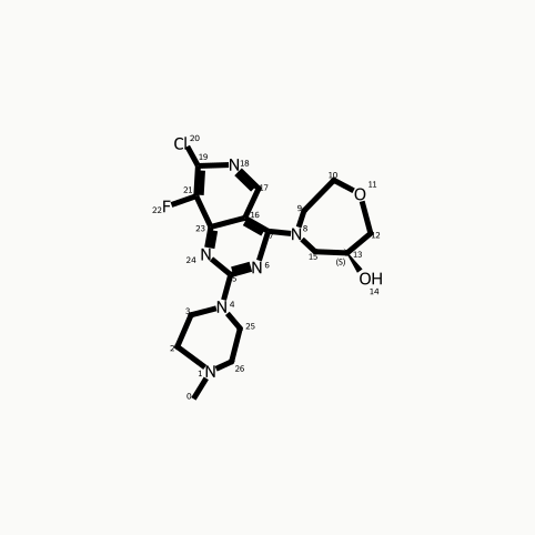 CN1CCN(c2nc(N3CCOC[C@@H](O)C3)c3cnc(Cl)c(F)c3n2)CC1